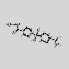 NNC(=O)c1ccc(S(=O)(=O)c2ccc(C(N)=O)cc2)cc1